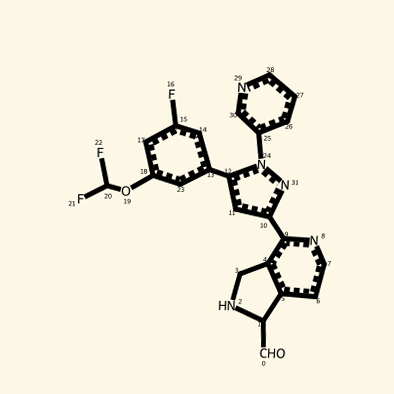 O=CC1NCc2c1ccnc2-c1cc(-c2cc(F)cc(OC(F)F)c2)n(-c2cccnc2)n1